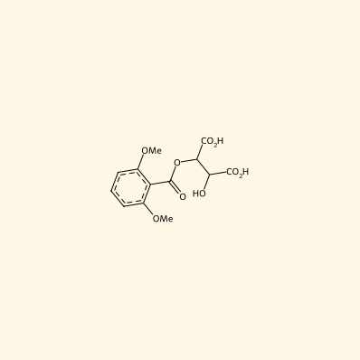 COc1cccc(OC)c1C(=O)OC(C(=O)O)C(O)C(=O)O